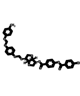 Cc1ccc(OCOc2ccc(OCO[C@H]3CO[C@H]4[C@@H]3OC[C@H]4OC(=O)c3ccc(OC(=O)c4ccc(C)cc4)cc3)cc2)cc1